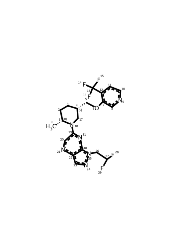 C[C@@H]1CC[C@H](COc2cnccc2C(F)(F)F)CN1c1cnc2cnn(CC(F)F)c2n1